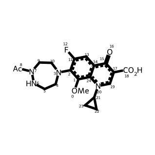 COc1c(N2CCNN(C(C)=O)CC2)c(F)cc2c(=O)c(C(=O)O)cn(C3CC3)c12